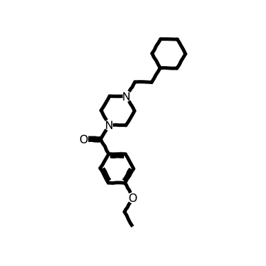 CCOc1ccc(C(=O)N2CCN(CCC3CCCCC3)CC2)cc1